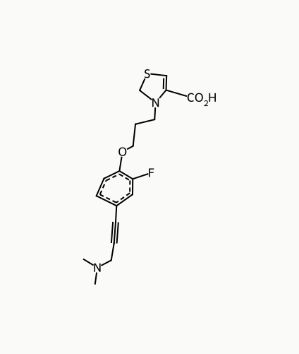 CN(C)CC#Cc1ccc(OCCCN2CSC=C2C(=O)O)c(F)c1